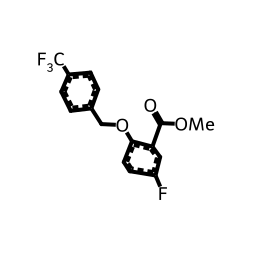 COC(=O)c1cc(F)ccc1OCc1ccc(C(F)(F)F)cc1